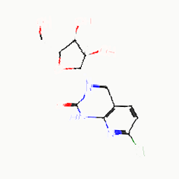 O=C1Nc2nc(Cl)ccc2CN1[C@@H]1O[C@H](CO)[C@@H](O)[C@H]1O